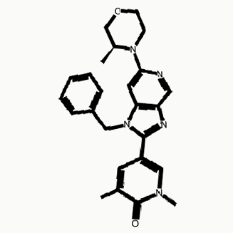 Cc1cc(-c2nc3cnc(N4CCOC[C@@H]4C)cc3n2Cc2ccccc2)cn(C)c1=O